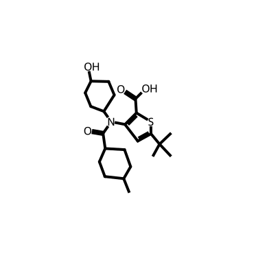 CC1CCC(C(=O)N(c2cc(C(C)(C)C)sc2C(=O)O)C2CCC(O)CC2)CC1